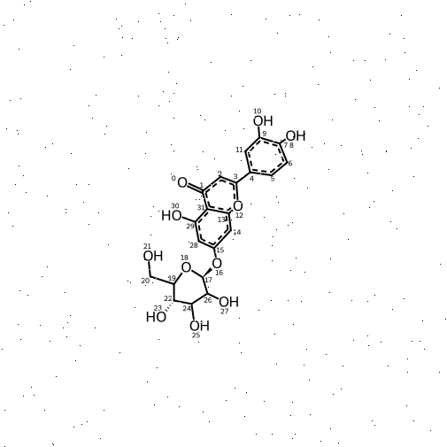 O=c1cc(-c2ccc(O)c(O)c2)oc2cc(O[C@@H]3OC(CO)[C@@H](O)C(O)C3O)cc(O)c12